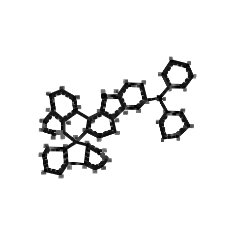 c1ccc(N(c2ccccc2)c2ccc3oc4c5c(ccc4c3c2)C2(c3ccccc3-c3ccccc32)c2cccc3cccc-5c23)cc1